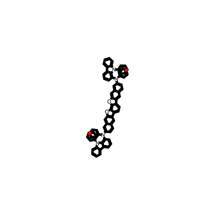 c1ccc(N(c2ccc3cc4c(cc3c2)oc2c4ccc3c4cc5ccc(N(c6ccccc6)c6cccc7c8ccccc8n(-c8ccccc8)c67)cc5cc4oc32)c2cccc3c4ccccc4n(-c4ccccc4)c23)cc1